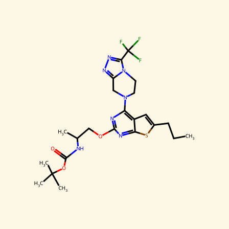 CCCc1cc2c(N3CCn4c(nnc4C(F)(F)F)C3)nc(OCC(C)NC(=O)OC(C)(C)C)nc2s1